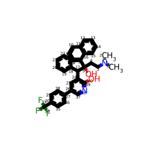 CN(C)CCC(O)(C1=C=C=Cc2ccccc21)C(c1ccccc1)c1cc(-c2ccc(C(F)(F)F)cc2)cnc1O